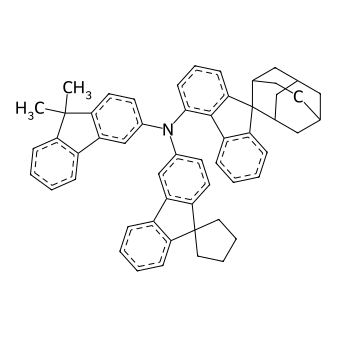 CC1(C)c2ccccc2-c2cc(N(c3ccc4c(c3)-c3ccccc3C43CCCC3)c3cccc4c3-c3ccccc3C43C4CCC5CC(C4)CC3C5)ccc21